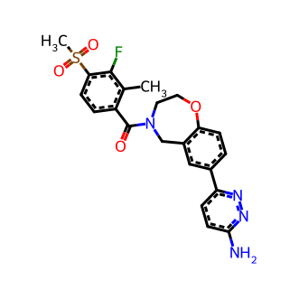 Cc1c(C(=O)N2CCOc3ccc(-c4ccc(N)nn4)cc3C2)ccc(S(C)(=O)=O)c1F